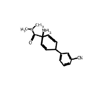 CN(C)C(=O)C1(N)C=CC(c2cccc(C#N)c2)C=C1